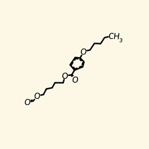 CCCCCOc1ccc(C(=O)OCCCCCOC=O)cc1